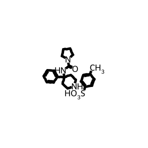 Cc1ccc(S(=O)(=O)O)cc1.O=C(NC1(c2ccccc2)CCNCC1)N1CCCC1